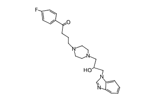 O=C(CCCN1CCN(CC(O)Cn2cnc3ccccc32)CC1)c1ccc(F)cc1